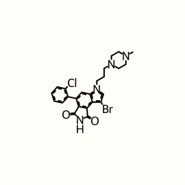 CN1CCN(CCCn2cc(Br)c3c4c(c(-c5ccccc5Cl)cc32)C(=O)NC4=O)CC1